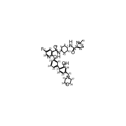 Cc1nc(C(=O)N[C@H]2CC[C@@H](NC(=O)c3cc(F)cnc3Oc3cccc(-c4ccc(CN5CCOCC5)cc4O)c3)CC2)cs1